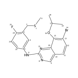 CSCc1cc(Nc2ncc3ccc(Br)c(OC(C)C)c3n2)ccc1F